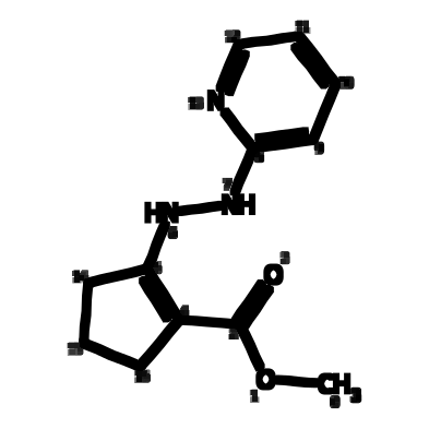 COC(=O)C1=C(NNc2ccccn2)CCC1